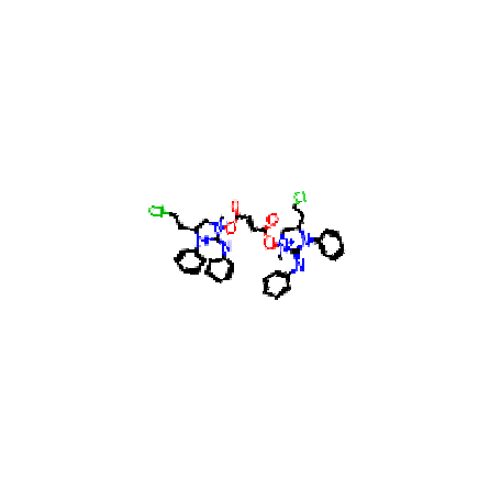 C[N+]1(OC(=O)/C=C/C(=O)O[N+]2(C)CC(CCCl)N(c3ccccc3)C2=Nc2ccccc2)CC(CCCl)N(c2ccccc2)C1=Nc1ccccc1